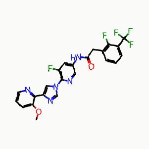 COc1cccnc1-c1cn(-c2ncc(NC(=O)Cc3cccc(C(F)(F)F)c3F)cc2F)cn1